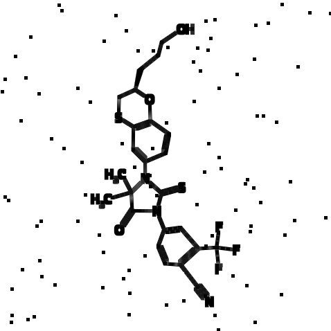 CC1(C)C(=O)N(c2ccc(C#N)c(C(F)(F)F)c2)C(=S)N1c1ccc2c(c1)SC[C@@H](CCCO)O2